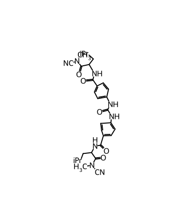 CC(C)CC(NC(=O)c1ccc(NC(=O)Nc2ccc(C(=O)NC(CC(C)C)C(=O)N(C)C#N)cc2)cc1)C(=O)N(C)C#N